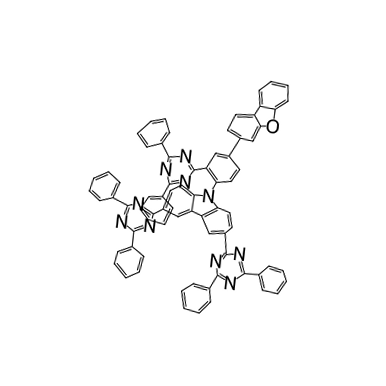 c1ccc(-c2nc(-c3ccccc3)nc(-c3ccc4c(c3)c3cc(-c5nc(-c6ccccc6)nc(-c6ccccc6)n5)ccc3n4-c3ccc(-c4ccc5c(c4)oc4ccccc45)cc3-c3nc(-c4ccccc4)nc(-c4ccccc4)n3)n2)cc1